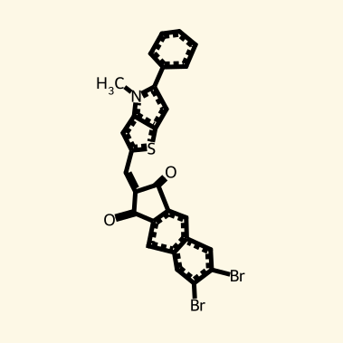 Cn1c(-c2ccccc2)cc2sc(C=C3C(=O)c4cc5cc(Br)c(Br)cc5cc4C3=O)cc21